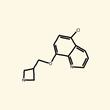 Clc1ccc(OCC2C[N]C2)c2ncccc12